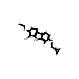 CCOc1ccc2c(oc3c(F)c(OCC4CC4)ccc32)c1F